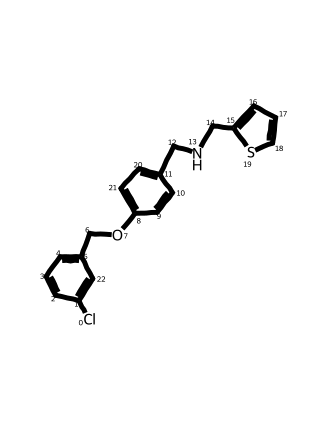 Clc1cccc(COc2ccc(CNCc3cccs3)cc2)c1